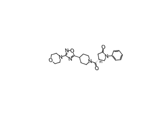 O=C([C@@H]1CC(=O)N(c2ccccc2)C1)N1CCC(c2nc(N3CCOCC3)no2)CC1